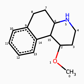 COC1CCNC2CCc3ccccc3C21